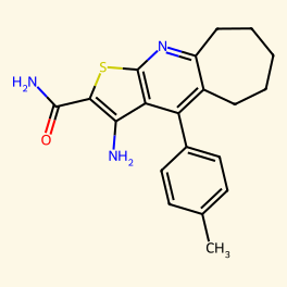 Cc1ccc(-c2c3c(nc4sc(C(N)=O)c(N)c24)CCCCC3)cc1